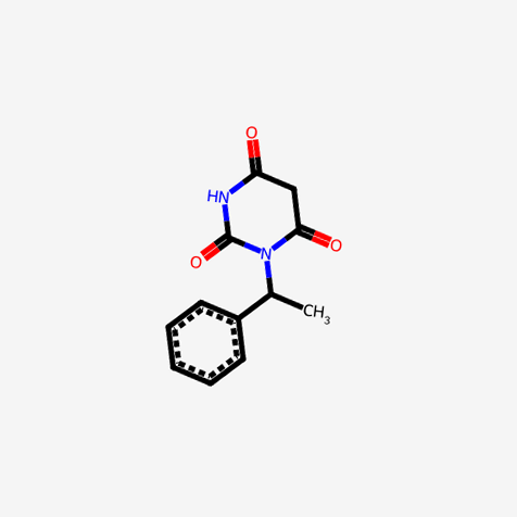 CC(c1ccccc1)N1C(=O)CC(=O)NC1=O